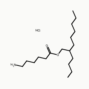 CCCCCCC(CCCC)COC(=O)CCCCCN.Cl